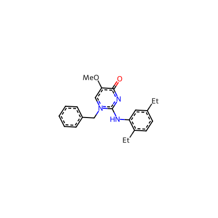 CCc1ccc(CC)c(Nc2nc(=O)c(OC)cn2Cc2ccccc2)c1